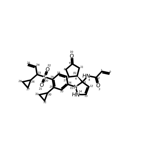 C=CC(=O)NC1([C@H]2CCC(=O)C2)C=CNN1c1ccc(S(=O)(=O)C(C=C)C2CC2)c(C2CC2)c1